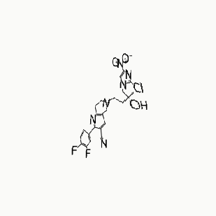 CC(O)(CCN1CCc2nc(-c3ccc(F)c(F)c3)c(C#N)cc2C1)Cn1cc([N+](=O)[O-])nc1Cl